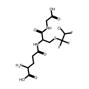 NC(CCC(=O)NC(CSC(F)(F)C(F)Cl)C(=O)NCC(=O)O)C(=O)O